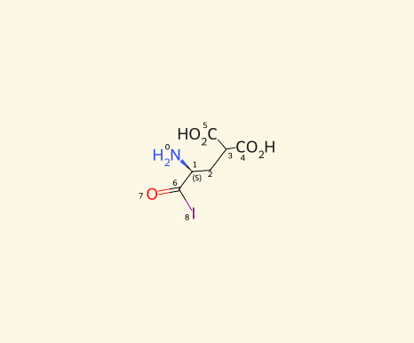 N[C@@H](CC(C(=O)O)C(=O)O)C(=O)I